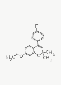 CCOc1ccc2c(c1)OC(C)(C)C=C2c1ccc(F)cn1